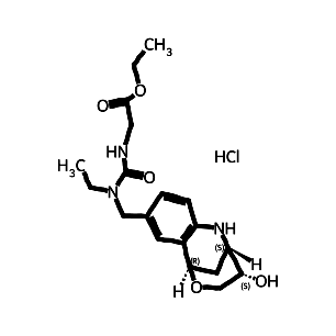 CCOC(=O)CNC(=O)N(CC)Cc1ccc2c(c1)[C@H]1C[C@H](N2)[C@H](O)CO1.Cl